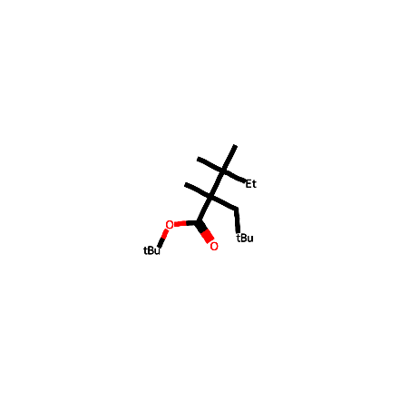 CCC(C)(C)C(C)(CC(C)(C)C)C(=O)OC(C)(C)C